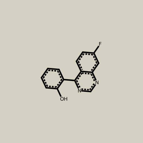 Oc1ccccc1-c1ncnc2cc(F)ccc12